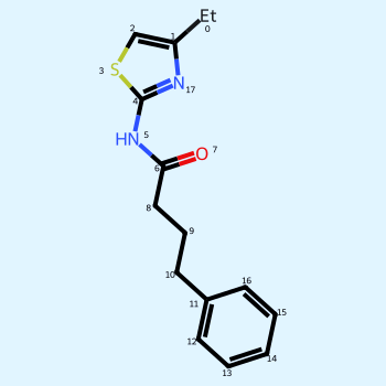 CCc1csc(NC(=O)CCCc2ccccc2)n1